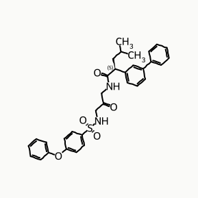 CC(C)C[C@H](C(=O)NCC(=O)CNS(=O)(=O)c1ccc(Oc2ccccc2)cc1)c1cccc(-c2ccccc2)c1